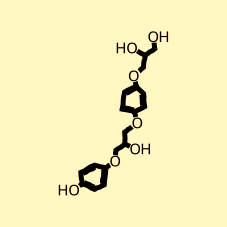 OCC(O)COc1ccc(OCC(O)COc2ccc(O)cc2)cc1